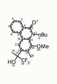 CCCCn1c(=O)c2ccccc2c2cc(C(C)(O)C(F)(F)F)c(C)c(OC)c21